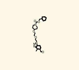 Cc1c(C=O)ccc2c1nnn2CCOCCOC1CCN(C(=O)OCc2ccccc2)CC1